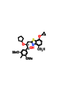 COc1cc([C@@H](O)[C@H](Cc2nc3c(C(=O)O)ccc(OC4CC4)c3s2)OC2CCCC2)cc(OC)c1C